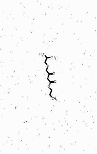 CCCOC(=O)CC(=O)COCC(C)C